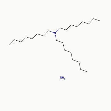 CCCCCCCCN(CCCCCCCC)CCCCCCCC.N